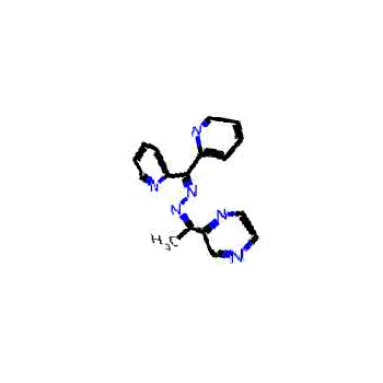 CC(=NN=C(c1ccccn1)c1ccccn1)c1cnccn1